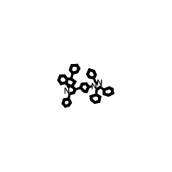 c1ccc(-c2cc(-c3ccc(-n4c(-c5ccccc5)nc(-c5ccccc5)c4-c4ccccc4)cc3)c3cc(-c4ccccc4)c4ccccc4c3n2)cc1